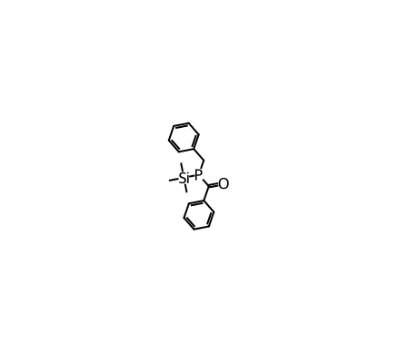 C[Si](C)(C)P(Cc1ccccc1)C(=O)c1ccccc1